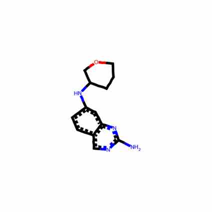 Nc1ncc2ccc(NC3CCCOC3)cc2n1